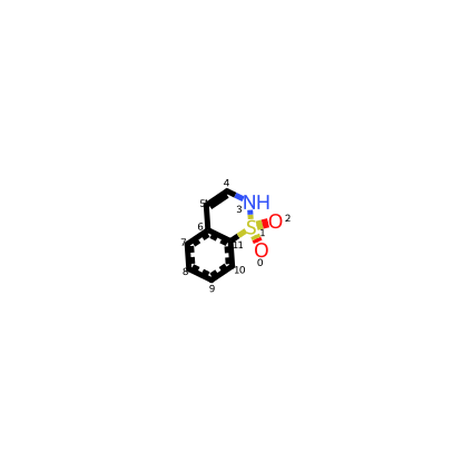 O=S1(=O)NC=[C]c2ccccc21